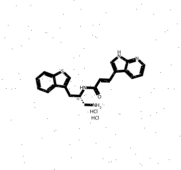 Cl.Cl.NC[C@H](Cc1csc2ccccc12)NC(=O)C=Cc1c[nH]c2ncccc12